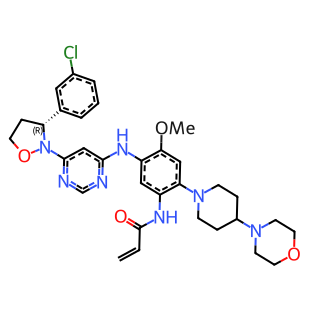 C=CC(=O)Nc1cc(Nc2cc(N3OCC[C@@H]3c3cccc(Cl)c3)ncn2)c(OC)cc1N1CCC(N2CCOCC2)CC1